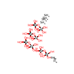 O[Si](O)(O)O[Si](O)(O)O.O[Si](O)(O)O[Si](O)(O)O.O[Si](O)(O)O[Si](O)(O)O.O[Si](O)(O)O[Si](O)(O)O.[SiH4].[SiH4].[SiH4].[SiH4].[SiH4].[SiH4]